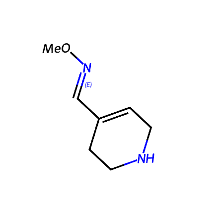 CO/N=C/C1=CCNCC1